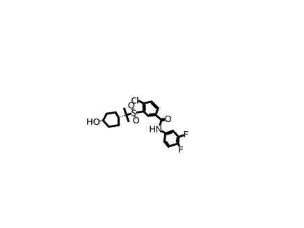 CC(C)([C@H]1CC[C@@H](O)CC1)S(=O)(=O)c1cc(C(=O)Nc2ccc(F)c(F)c2)ccc1Cl